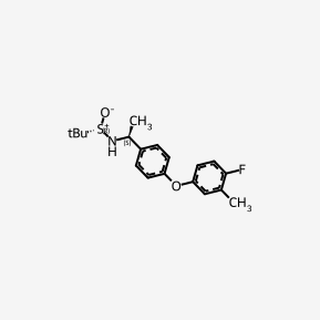 Cc1cc(Oc2ccc([C@H](C)N[S@@+]([O-])C(C)(C)C)cc2)ccc1F